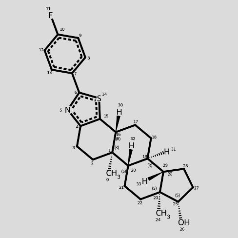 C[C@]12CCc3nc(-c4ccc(F)cc4)sc3[C@@H]1CC[C@@H]1[C@@H]2CC[C@]2(C)[C@@H](O)CC[C@@H]12